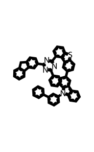 c1ccc(-c2cccc(-n3c4ccccc4c4cc(-c5ccc6sc7cccc(-c8nc(-c9ccccc9)nc(-c9ccc%10c(c9)-c9ccccc9C%10)n8)c7c6c5)ccc43)c2)cc1